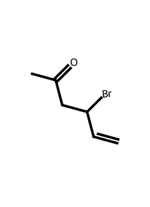 C=CC(Br)CC(C)=O